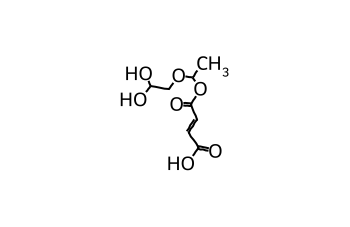 CC(OCC(O)O)OC(=O)C=CC(=O)O